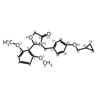 COc1cccc(OC)c1C1OCC(=O)N1Cc1ccc(OCC2CC2)cc1